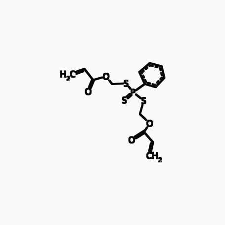 C=CC(=O)OCSP(=S)(SCOC(=O)C=C)c1ccccc1